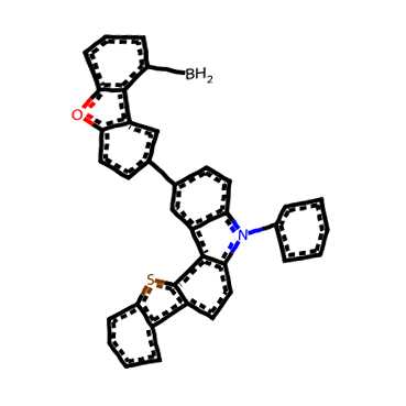 Bc1cccc2oc3ccc(-c4ccc5c(c4)c4c6sc7ccccc7c6ccc4n5-c4ccccc4)cc3c12